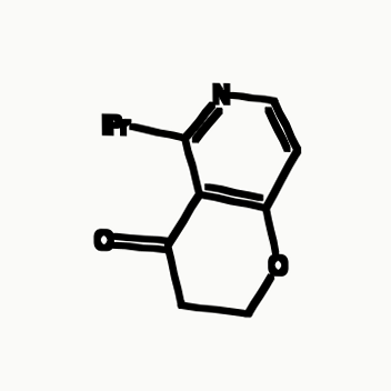 CC(C)c1nccc2c1C(=O)CCO2